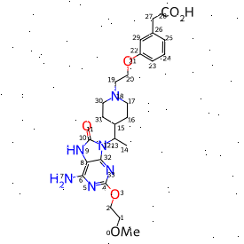 COCCOc1nc(N)c2[nH]c(=O)n(C(C)C3CCN(CCOc4cccc(CC(=O)O)c4)CC3)c2n1